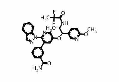 COc1ccc([C@@H](Oc2cnc(-n3ncc4ccccc43)c(-c3cccc(C(N)=O)c3)c2)[C@H](C)NC(=O)C(C)(F)F)cn1